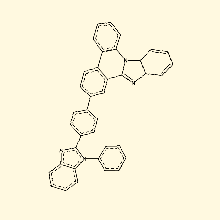 C1=CC2N=C3c4cc(-c5ccc(-c6nc7ccccc7n6-c6ccccc6)cc5)ccc4-c4ccccc4N3C2C=C1